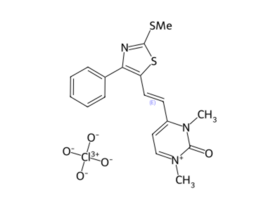 CSc1nc(-c2ccccc2)c(/C=C/c2cc[n+](C)c(=O)n2C)s1.[O-][Cl+3]([O-])([O-])[O-]